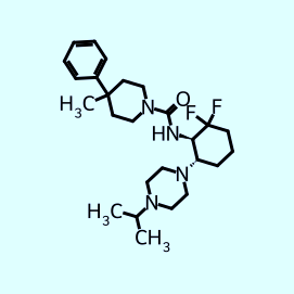 CC(C)N1CCN([C@H]2CCCC(F)(F)[C@@H]2NC(=O)N2CCC(C)(c3ccccc3)CC2)CC1